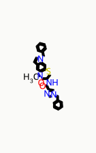 CN1C(=O)[C@@H](NC(=O)c2cn(Cc3ccccc3)cn2)CSc2cc3c(ccn3Cc3ccccc3)cc21